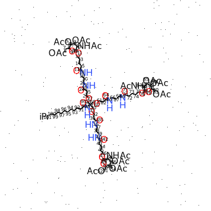 CC(=O)NC1C(OC(C)=O)[C@@H](OC(C)=O)C(COC(C)=O)O[C@H]1OCCCCC(=O)NCCCNC(=O)CCOCC(COCCC(=O)NCCCNC(=O)CCCCO[C@@H]1OC(COC(C)=O)[C@H](OC(C)=O)C(OC(C)=O)C1NC(C)=O)(COCCC(=O)NCCCNC(=O)CCCCO[C@@H]1OC(COC(C)=O)[C@H](OC(C)=O)C(OC(C)=O)[C@@H]1NC(C)=O)NC(=O)CCCCCCCCCCC(C)C